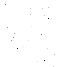 Brc1cc(Br)cc(Nc2ccc(-n3c4ccccc4c4ccccc43)cc2)c1